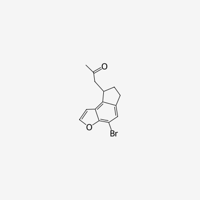 CC(=O)CC1CCc2cc(Br)c3occc3c21